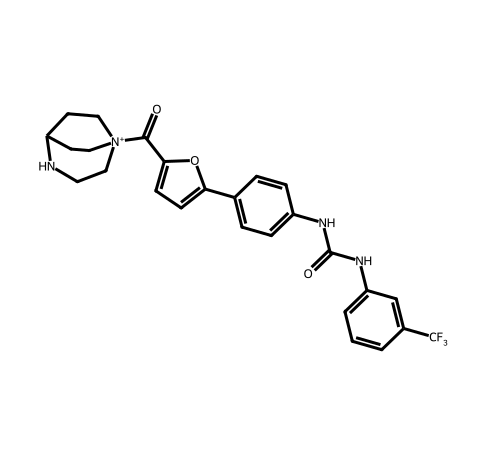 O=C(Nc1ccc(-c2ccc(C(=O)[N+]34CCNC(CC3)CC4)o2)cc1)Nc1cccc(C(F)(F)F)c1